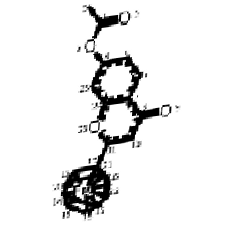 CC(=O)Oc1ccc2c(=O)cc([C]34[CH]5[CH]6[CH]7[CH]3[Fe]6754389%10[CH]4[CH]3[CH]8[CH]9[CH]4%10)oc2c1